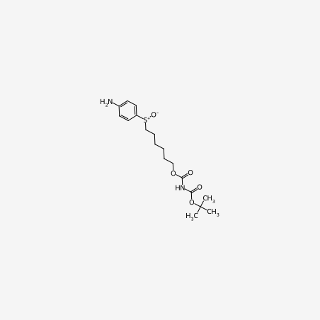 CC(C)(C)OC(=O)NC(=O)OCCCCCC[S+]([O-])c1ccc(N)cc1